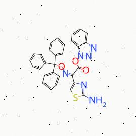 Nc1nc(C(=NOC(c2ccccc2)(c2ccccc2)c2ccccc2)C(=O)On2nnc3ccccc32)cs1